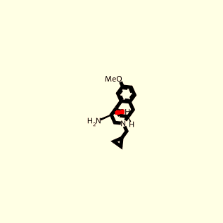 COc1ccc2c(c1)C13CCN(CC4CC4)[C@H](C2)[C@]1(O)C[C@H](N)C3